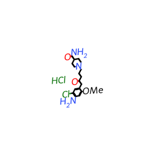 COc1cc(N)c(Cl)cc1CC(=O)CCCN1CCC(C(N)=O)CC1.Cl